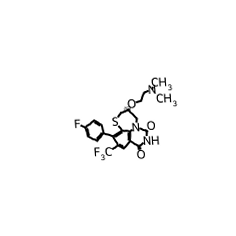 CN(C)CCO[C@@H]1CSc2c(-c3ccc(F)cc3)c(C(F)(F)F)cc3c(=O)[nH]c(=O)n(c23)C1